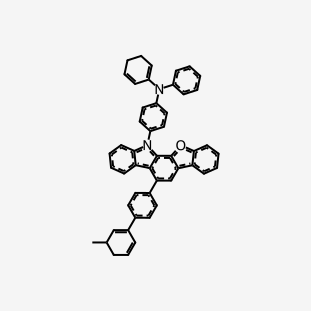 CC1C=C(c2ccc(-c3cc4c5ccccc5oc4c4c3c3ccccc3n4-c3ccc(N(C4=CCCC=C4)c4ccccc4)cc3)cc2)C=CC1